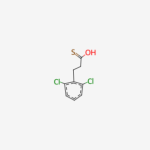 OC(=S)CCc1c(Cl)cccc1Cl